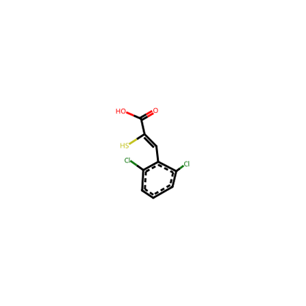 O=C(O)/C(S)=C/c1c(Cl)cccc1Cl